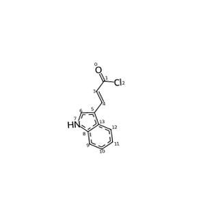 O=C(Cl)C=Cc1c[nH]c2ccccc12